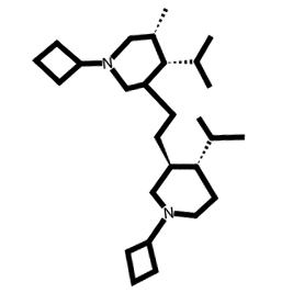 CC(C)[C@@H]1C(CC[C@@H]2CN(C3CCC3)CC[C@H]2C(C)C)CN(C2CCC2)C[C@@H]1C